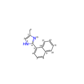 Cc1c[nH]c(-c2cccc3ccccc23)n1